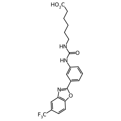 O=C(O)CCCCCNC(=O)Nc1cccc(-c2nc3cc(C(F)(F)F)ccc3o2)c1